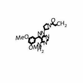 C=CC(=O)N1CCC(n2nc(-c3cc(OC)cc(OC)c3)c3c(N)ncnc32)C1